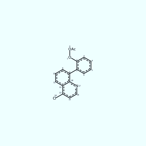 CC(=O)OOc1ccccc1-c1cccc2c(Cl)ccnc12